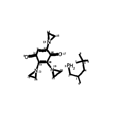 CC(CP)CC(C)(C)C.O=C1C=C(N2CC2)C(=O)C(N2CC2)=C1N1CC1